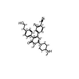 CNC1CCN(c2nc(-c3ccc(C#N)c(F)c3)c(-c3ccc(CCO)cc3)c(=O)n2C)CC1